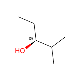 CC[C@H](O)C(C)C